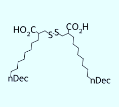 CCCCCCCCCCCCCCCCCCC(CSSCC(CCCCCCCCCCCCCCCCCC)C(=O)O)C(=O)O